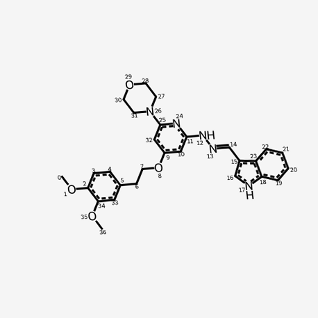 COc1ccc(CCOc2cc(NN=Cc3c[nH]c4ccccc34)nc(N3CCOCC3)c2)cc1OC